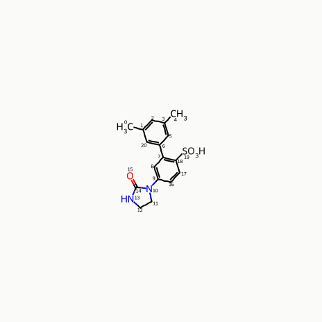 Cc1cc(C)cc(-c2cc(N3CCNC3=O)ccc2S(=O)(=O)O)c1